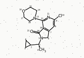 C[C@@H](C1CC1)N1Cc2cc(Cl)nc(N3CCOCC3)c2C1=O